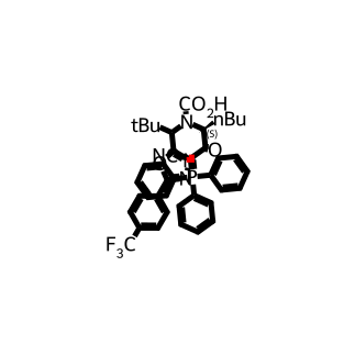 CCCC[C@@H](C(=O)C(C#N)=P(c1ccccc1)(c1ccccc1)c1ccccc1)N(C(=O)O)C(c1nnc(-c2ccc(C(F)(F)F)cc2)o1)C(C)(C)C